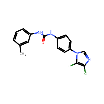 Cc1cccc(NC(=O)Nc2ccc(-n3cnc(Cl)c3Cl)cc2)c1